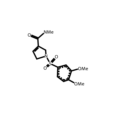 CNC(=O)C1=CCN(S(=O)(=O)c2ccc(OC)c(OC)c2)C1